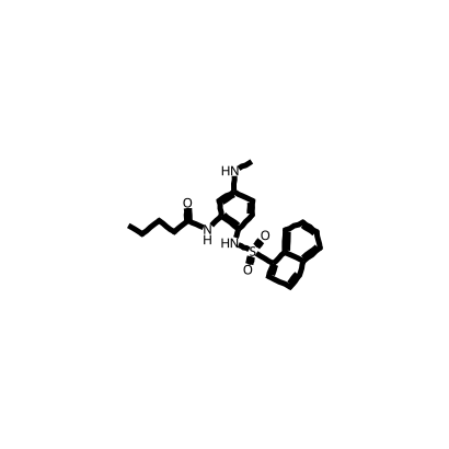 CCCCC(=O)Nc1cc(NC)ccc1NS(=O)(=O)c1cccc2ccccc12